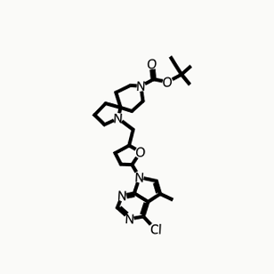 Cc1cn(C2CCC(CN3CCCC34CCN(C(=O)OC(C)(C)C)CC4)O2)c2ncnc(Cl)c12